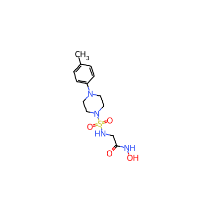 Cc1ccc(N2CCN(S(=O)(=O)NCC(=O)NO)CC2)cc1